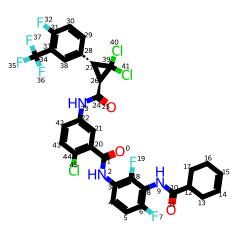 O=C(Nc1ccc(F)c(NC(=O)C2CC=CCC2)c1F)c1cc(NC(=O)[C@H]2[C@H](c3ccc(F)c(C(F)(F)F)c3)C2(Cl)Cl)ccc1Cl